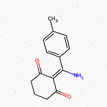 Cc1ccc(C(N)=C2C(=O)CCCC2=O)cc1